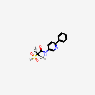 CC(C)S(=O)(=O)C(C)(C)C(=O)Nc1ccc(-c2ccccc2)nc1